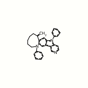 C=C1CCCCCN(c2ccccc2)c2cc3c4cnccc4n(-c4ccccc4)c3cc21